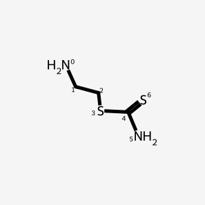 NCCSC(N)=S